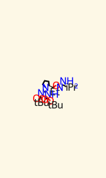 CCC(O/N=C(\N)C(C)C)[C@@H]1CCCN1/C(=N/C(=O)OC(C)(C)C)NC(=O)OC(C)(C)C